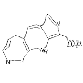 CCOC(=O)c1ncc2cc3ccncc3[nH]c1-2